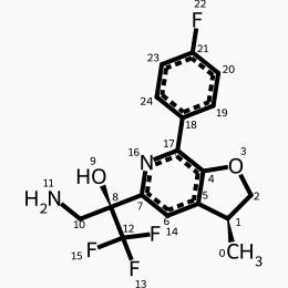 C[C@@H]1COc2c1cc([C@@](O)(CN)C(F)(F)F)nc2-c1ccc(F)cc1